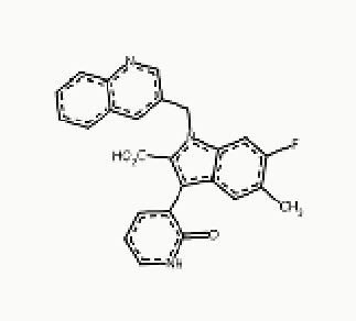 Cc1cc2c(-c3ccc[nH]c3=O)c(C(=O)O)n(Cc3cnc4ccccc4c3)c2cc1F